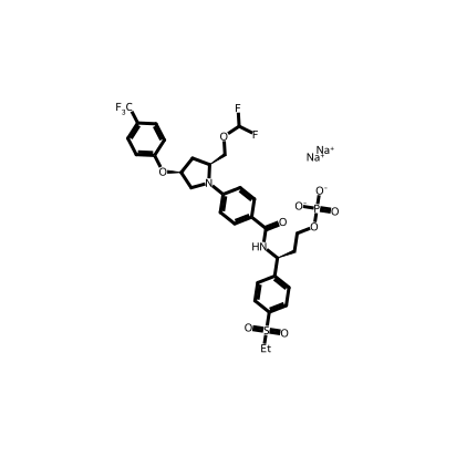 CCS(=O)(=O)c1ccc([C@H](CCOP(=O)([O-])[O-])NC(=O)c2ccc(N3C[C@@H](Oc4ccc(C(F)(F)F)cc4)C[C@H]3COC(F)F)cc2)cc1.[Na+].[Na+]